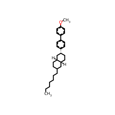 CCCCCCCC1CC[C@@H]2C[C@H](c3ccc(-c4ccc(OC)cc4)cc3)CC[C@@H]2C1